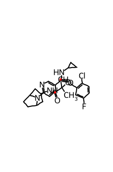 CC(C)(Oc1cc(F)ccc1Cl)C(=O)NC1CC2CCC(C1)N2c1ccc(C(=O)NC2CC2)cn1